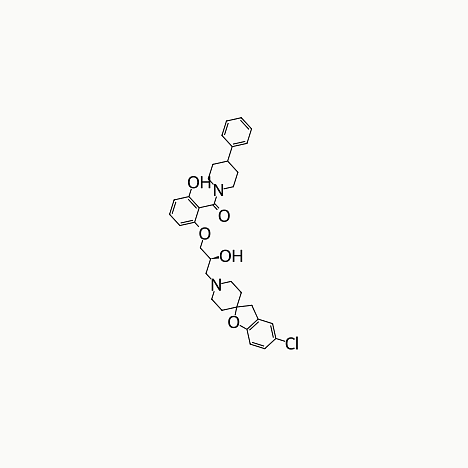 O=C(c1c(O)cccc1OC[C@@H](O)CN1CCC2(CC1)Cc1cc(Cl)ccc1O2)N1CCC(c2ccccc2)CC1